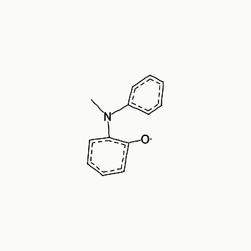 CN(c1ccccc1)c1ccccc1[O]